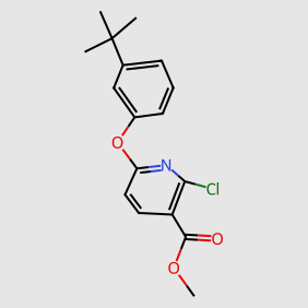 COC(=O)c1ccc(Oc2cccc(C(C)(C)C)c2)nc1Cl